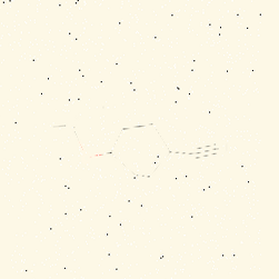 C#CC1CCC(O[SiH](C)C)CC1